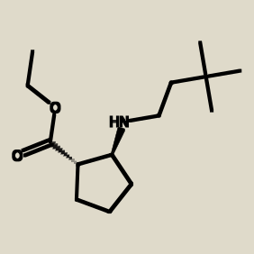 CCOC(=O)[C@H]1CCC[C@@H]1NCCC(C)(C)C